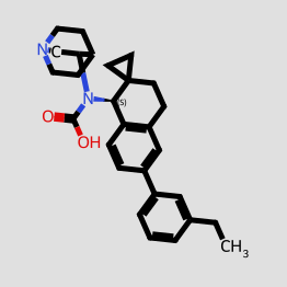 CCc1cccc(-c2ccc3c(c2)CCC2(CC2)[C@@H]3N(C(=O)O)C2CN3CCC2CC3)c1